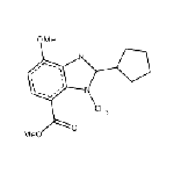 COC(=O)c1ccc(OC)c2c1N(C)C(C1CCCC1)[N]2